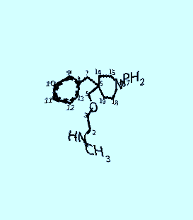 CNCCOCC1(Cc2ccccc2)CCN(P)CC1